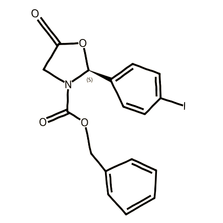 O=C1CN(C(=O)OCc2ccccc2)[C@H](c2ccc(I)cc2)O1